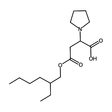 CCCCC(CC)COC(=O)CC(C(=O)O)N1CCCC1